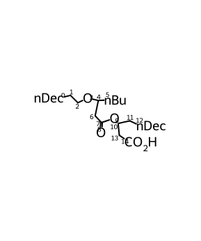 CCCCCCCCCCCCOC(CCCC)CC(=O)OC(CCCCCCCCCCC)CC(=O)O